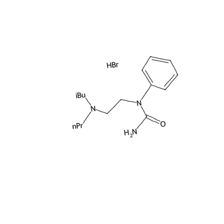 Br.CCCN(CCN(C(N)=O)c1ccccc1)C(C)CC